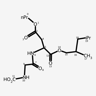 CCCOC(=O)CC(NC(=O)CNC(=O)O)C(=O)OCC(C)CC(C)C